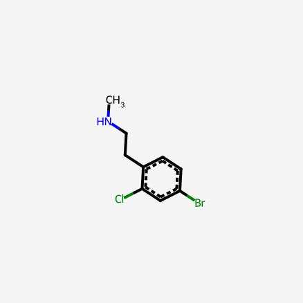 CNCCc1ccc(Br)cc1Cl